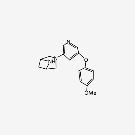 COc1ccc(Oc2cncc(N3CC4CC(C3)N4)c2)cc1